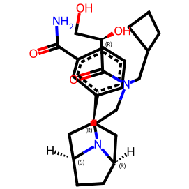 NC(=O)c1cccc([C@H]2C[C@H]3CC[C@@H](C2)N3CCN(CC2CCC2)C(=O)[C@H](O)CO)c1